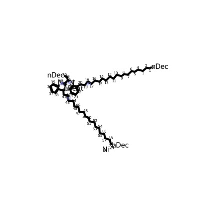 CCCCCCCCCCCCCCCCCCCCCCCCCC/C=C/CCc1ccccc1/N=C(CCCCCCCCCCC)\C(CCCCC)=N\c1ccccc1CC/C=C/CCCCCCCCCCCCCCCCCCCCCCCCCC.[Ni+2]